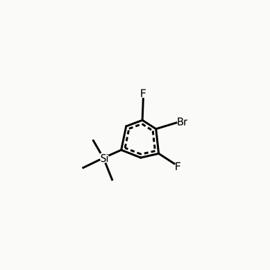 C[Si](C)(C)c1cc(F)c(Br)c(F)c1